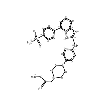 CC(C)(C)OC(=O)CN1CCN(c2ccc(Nc3nc4cccc(-c5ccc(S(C)(=O)=O)cc5)n4n3)cc2)CC1